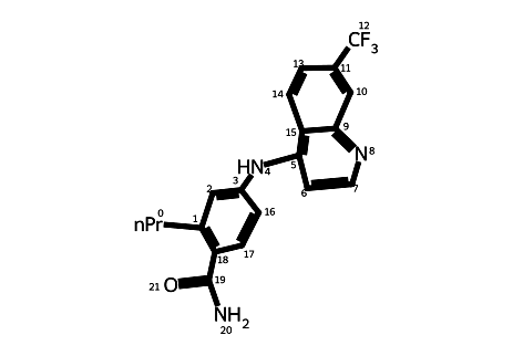 CCCc1cc(Nc2ccnc3cc(C(F)(F)F)ccc23)ccc1C(N)=O